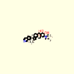 C=C1C[C@@H]2[C@](C)(CC=C3C=C4[C@@H](O)[C@H](O)[C@@H](N(C)C)C[C@]45CC[C@@]32O5)[C@H]1c1ccc2ccncc2c1